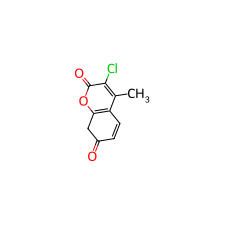 Cc1c2c(oc(=O)c1Cl)CC(=O)C=C2